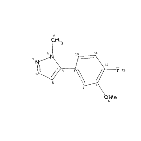 COc1cc(-c2ccnn2C)ccc1F